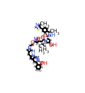 Cc1ncsc1-c1ccc([C@H](C)NC(=O)[C@@H]2C[C@@H](O)CN2C(=O)[C@@H](c2cc(OCCN3CC(Cc4cc5cc(-c6ccccc6O)nnc5[nH]4)C3)no2)C(C)C)cc1